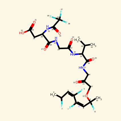 CC(F)/C=C(F)\C(F)=C/C(C)(F)OCC(=O)CNC(=O)C(NC(=O)CNC(=O)C(CC(=O)O)NC(=O)C(F)(F)F)C(C)C